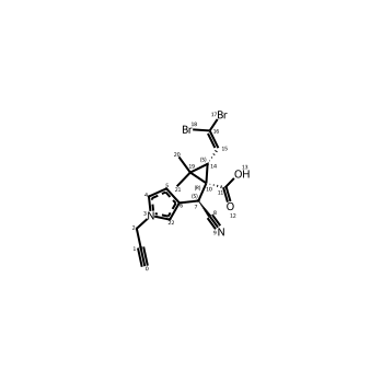 C#CCn1ccc([C@H](C#N)[C@]2(C(=O)O)[C@@H](C=C(Br)Br)C2(C)C)c1